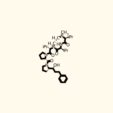 CC(C)[C@H](NC(=O)[C@H](C(C)C)N(C)C)C(=O)N(C)[C@H](C(=O)N1CCC[C@H]1C(=O)N1CCC[C@H]1[C@H](O)CCc1ccccc1)C(C)C